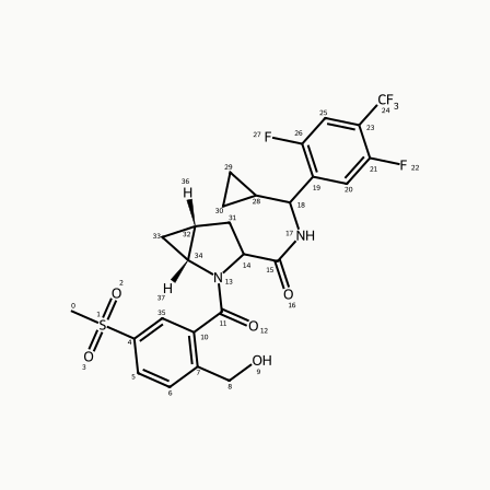 CS(=O)(=O)c1ccc(CO)c(C(=O)N2C(C(=O)NC(c3cc(F)c(C(F)(F)F)cc3F)C3CC3)C[C@H]3C[C@H]32)c1